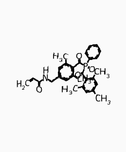 C=CC(=O)NCc1cc(C)c(C(=O)P(=O)(C(=O)c2c(C)cc(C)cc2C)c2ccccc2)c(C)c1